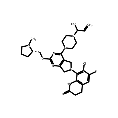 C=CC(O)N1CCN(c2nc(OC[C@@H]3CCCN3C)nc3c2CN(c2c(Cl)c(F)cc4c2NC(=O)CC4)C3)CC1